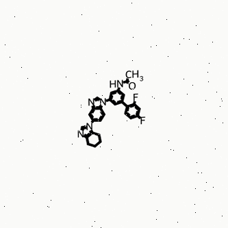 CC(=O)Nc1cc(-c2ccc(F)cc2F)cc(-n2cnc3cc(-n4cnc5c4CCCC5)ccc32)c1